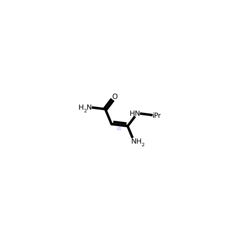 CC(C)N/C(N)=C\C(N)=O